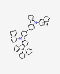 C1=CC2C=C(n3c4ccccc4c4cc(-c5ccc6c(c5)c5ccc7c(c5n6-c5cccc6ccccc56)-c5ccccc5C7(c5ccccc5)c5ccccc5)ccc43)C=C[C@@H]2C=C1